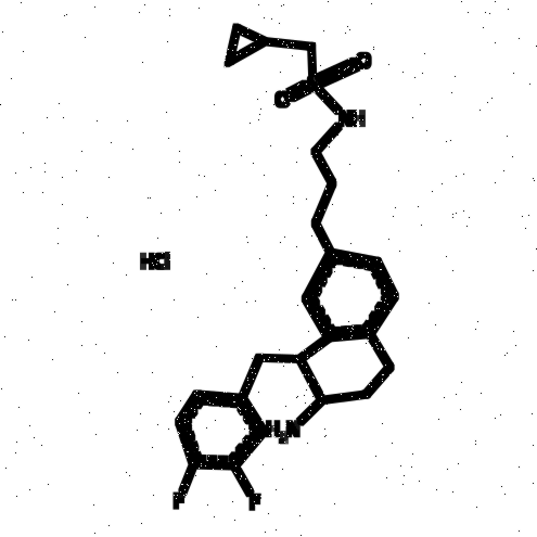 Cl.NC1CCc2ccc(CCCNS(=O)(=O)CC3CC3)cc2C1Cc1ccc(F)c(F)c1